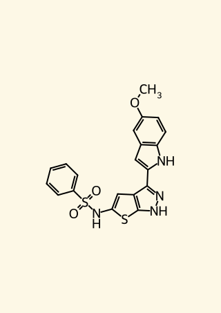 COc1ccc2[nH]c(-c3n[nH]c4sc(NS(=O)(=O)c5ccccc5)cc34)cc2c1